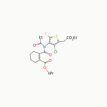 CCCOC(=O)C1=C(C(=O)N(C(=O)CC)c2c(F)sc(CC(=O)OCC)c2Cl)CCCC1